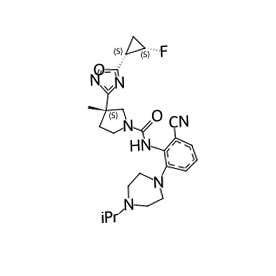 CC(C)N1CCN(c2cccc(C#N)c2NC(=O)N2CC[C@](C)(c3noc([C@@H]4C[C@@H]4F)n3)C2)CC1